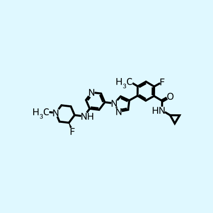 Cc1cc(F)c(C(=O)NC2CC2)cc1-c1cnn(-c2cncc(NC3CCN(C)C[C@@H]3F)c2)c1